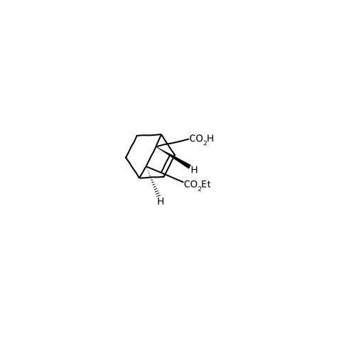 CCOC(=O)[C@H]1C2C=CC(CC2)[C@@H]1C(=O)O